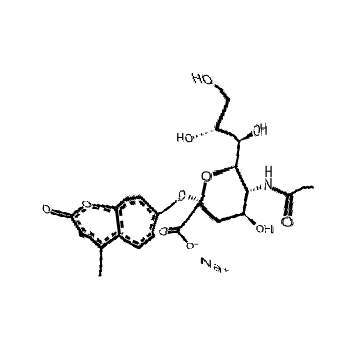 CC(=O)N[C@H]1[C@H]([C@H](O)[C@H](O)CO)O[C@](Oc2ccc3c(C)cc(=O)oc3c2)(C(=O)[O-])C[C@@H]1O.[Na+]